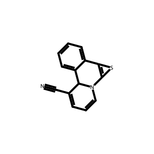 N#CC1=CC=CN2C3=C(S3)c3ccccc3C12